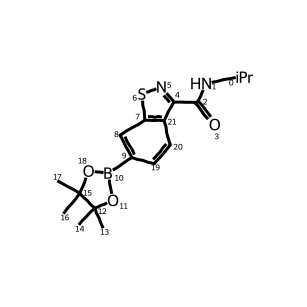 CC(C)NC(=O)c1nsc2cc(B3OC(C)(C)C(C)(C)O3)ccc12